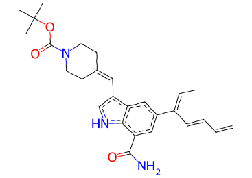 C=CC=CC(=CC)c1cc(C(N)=O)c2[nH]cc(C=C3CCN(C(=O)OC(C)(C)C)CC3)c2c1